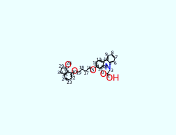 O=C(O)Cn1c2ccccc2c2ccc(OCCCCOc3cccc4c3C(=O)CC4)cc21